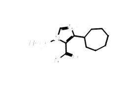 NC(=O)c1c(C2CCCCCC2)ncn1C(=O)O